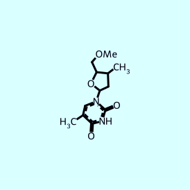 COCC1OC(n2cc(C)c(=O)[nH]c2=O)CC1C